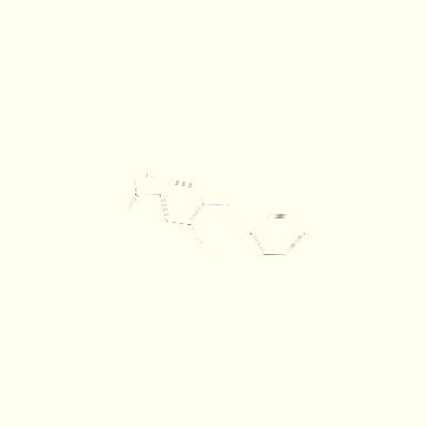 COC(=O)c1ccc(NCc2ccccc2)c([N+](=O)[O-])c1